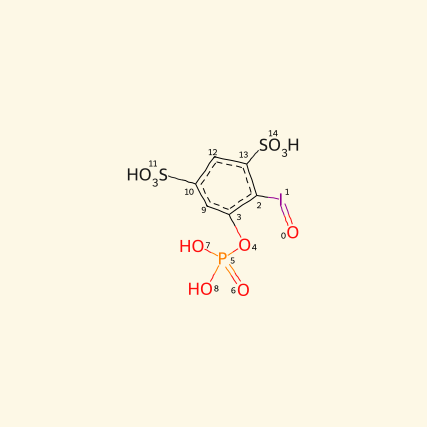 O=Ic1c(OP(=O)(O)O)cc(S(=O)(=O)O)cc1S(=O)(=O)O